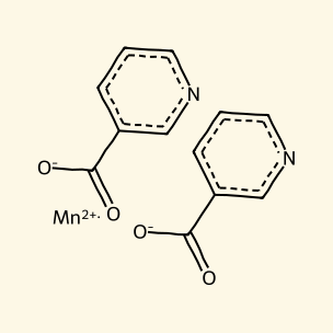 O=C([O-])c1cccnc1.O=C([O-])c1cccnc1.[Mn+2]